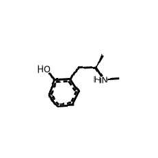 CN[C@H](C)Cc1ccccc1O